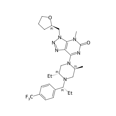 CC[C@@H]1CN(c2nc(=O)n(C)c3c2nnn3C[C@H]2CCCO2)[C@@H](C)CN1[C@H](CC)c1ccc(C(F)(F)F)cc1